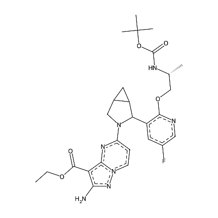 CCOC(=O)c1c(N)nn2ccc(N3CC4CC4C3c3cc(F)cnc3OC[C@@H](C)NC(=O)OC(C)(C)C)nc12